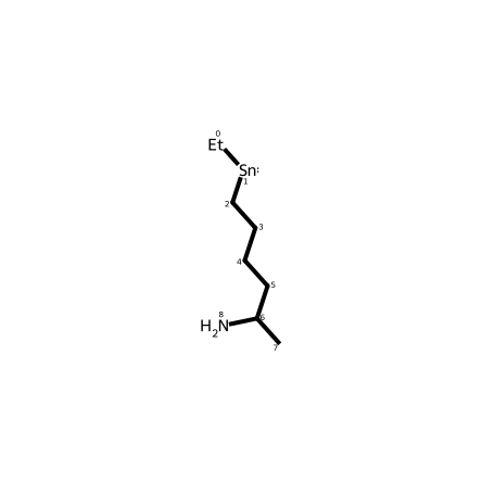 C[CH2][Sn][CH2]CCCC(C)N